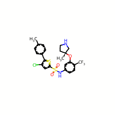 Cc1ccc(-c2sc(S(=O)(=O)Nc3ccc(C(F)(F)F)c(O[C@]4(C)CCNC4)c3)cc2Cl)cc1